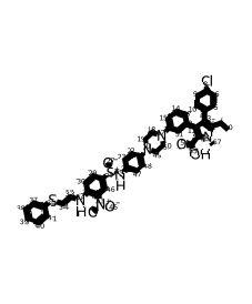 CCc1c(-c2ccc(Cl)cc2)c(-c2cccc(N3CCN(c4ccc(N[S+]([O-])c5ccc(NCCSc6ccccc6)c([N+](=O)[O-])c5)cc4)CC3)c2)c(C(=O)O)n1C